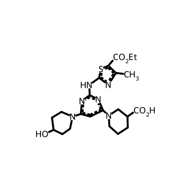 CCOC(=O)c1sc(Nc2nc(N3CCC(O)CC3)cc(N3CCCC(C(=O)O)C3)n2)nc1C